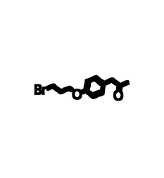 CC(=O)Cc1ccc(OCCCBr)cc1